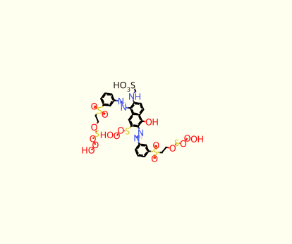 O=S(=O)(O)CNc1ccc2c(O)c(/N=N/c3cccc(S(=O)(=O)CCOSOOO)c3)c(SOOO)cc2c1/N=N/c1cccc(S(=O)(=O)CCOSOOO)c1